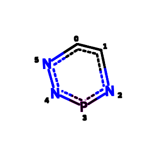 c1cnpnn1